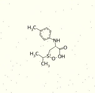 Cc1ccc(NC(C[S+]([O-])C(C)C)C(=O)O)cc1